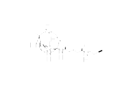 C#CCCNC(=O)CCCC(=O)NC12CNCCNCC(C)(CNCCNC1)CNCCNC2